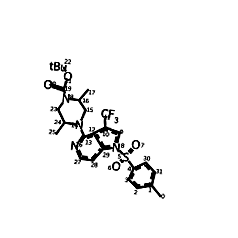 Cc1ccc(S(=O)(=O)n2cc(C(F)(F)F)c3c(N4CC(C)N(C(=O)OC(C)(C)C)CC4C)nccc32)cc1